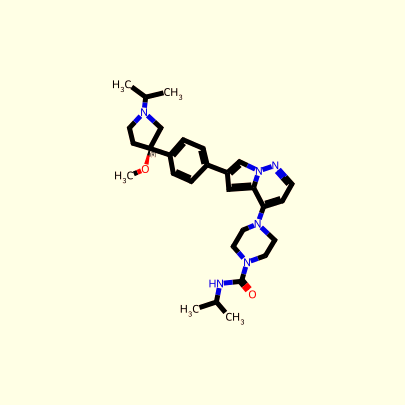 CO[C@@]1(c2ccc(-c3cc4c(N5CCN(C(=O)NC(C)C)CC5)ccnn4c3)cc2)CCN(C(C)C)C1